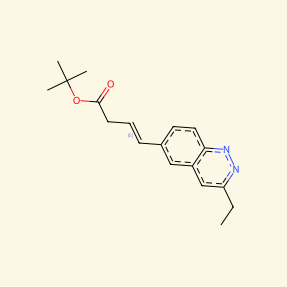 CCc1cc2cc(/C=C/CC(=O)OC(C)(C)C)ccc2nn1